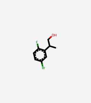 [CH2]C(CO)c1cc(Br)ccc1F